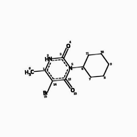 Cc1[nH]c(=O)n(C2CCCCC2)c(=O)c1Br